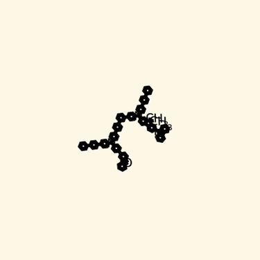 CC1(C)c2cc(N(c3ccc(-c4ccc(-c5ccccc5)cc4)cc3)c3ccc(-c4cccc(-c5ccc(-c6ccc(N(c7ccc(-c8ccc(-c9ccccc9)cc8)cc7)c7ccc(-c8ccc9oc%10ccccc%10c9c8)cc7)cc6)cc5)c4)cc3)ccc2-c2ccc(-n3c4ccccc4c4ccccc43)cc21